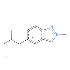 CC(C)Cc1ccc2nn(C)cc2c1